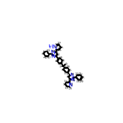 CC(C)(c1ccc(-c2cc(-c3ccccn3)nc(-c3ccccc3)n2)cc1)c1ccc(-c2cc(C3C=CC=CN3)nc(-c3ccccc3)n2)cc1